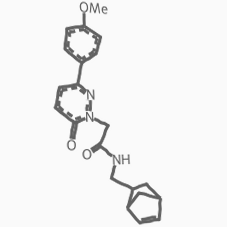 COc1ccc(-c2ccc(=O)n(CC(=O)NCC3CC4C=CC3C4)n2)cc1